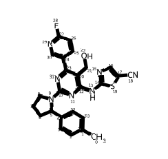 Cc1ccc(C2CCCN2c2nc(Nc3ncc(C#N)s3)c(CO)c(-c3ccc(F)nc3)n2)cc1